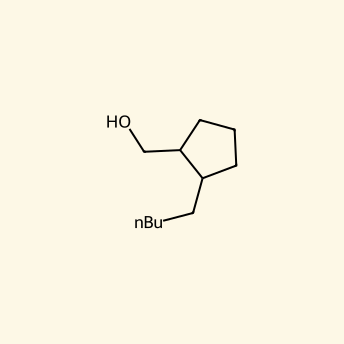 [CH2]CCCCC1CCCC1CO